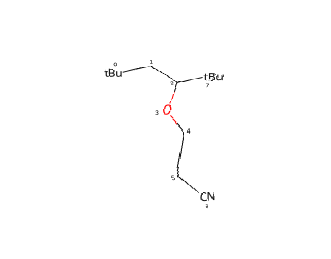 CC(C)(C)CC(OCCC#N)C(C)(C)C